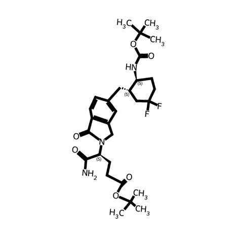 CC(C)(C)OC(=O)CC[C@@H](C(N)=O)N1Cc2cc(C[C@H]3CC(F)(F)CC[C@@H]3NC(=O)OC(C)(C)C)ccc2C1=O